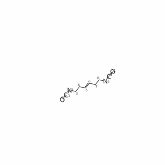 O=C=NCCC=CCCN=C=O